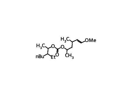 CCCCC(CC)C(C)OC(=O)OC(C)CC(C)/C=C/OC